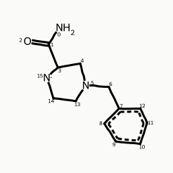 NC(=O)C1CN(Cc2ccccc2)CC[N]1